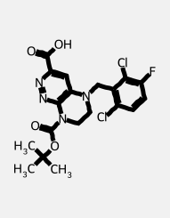 CC(C)(C)OC(=O)N1CCN(Cc2c(Cl)ccc(F)c2Cl)c2cc(C(=O)O)nnc21